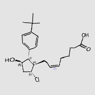 CC(C)(C)c1ccc([C@@H]2[C@@H](C/C=C\CCCC(=O)O)[C@H](Cl)C[C@H]2O)cc1